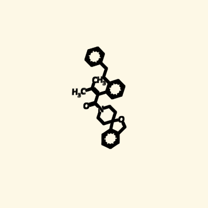 CC(C)=C(C(=O)N1CCC2(CC1)OCc1ccccc12)c1ccccc1CCc1ccccc1